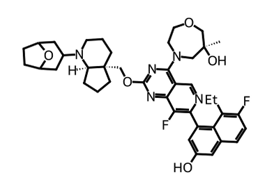 CCc1c(F)ccc2cc(O)cc(-c3ncc4c(N5CCOC[C@@](C)(O)C5)nc(OC[C@]56CCC[C@H]5N(C5CC7CCC(C5)O7)CCC6)nc4c3F)c12